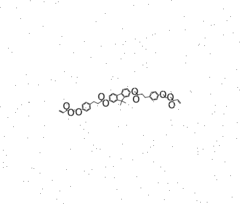 C=CC(=O)OCOc1ccc(CCC(=O)Oc2ccc3c(c2)C(C)(C)c2cc(OC(=O)CCc4ccc(OCOC(=O)C=C)cc4)ccc2-3)cc1